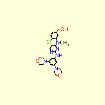 CN(c1ccnc(Nc2cc(N3CCOCC3)cc(N3CCOCC3)c2)n1)c1cc(CO)ccc1Cl